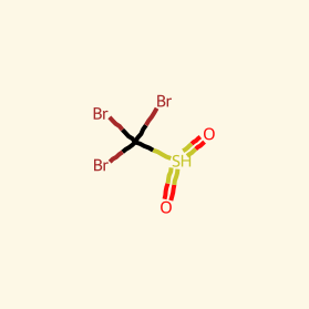 O=[SH](=O)C(Br)(Br)Br